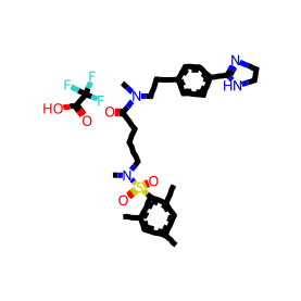 Cc1cc(C)c(S(=O)(=O)N(C)CCCC(=O)N(C)CCc2ccc(C3=NCCN3)cc2)c(C)c1.O=C(O)C(F)(F)F